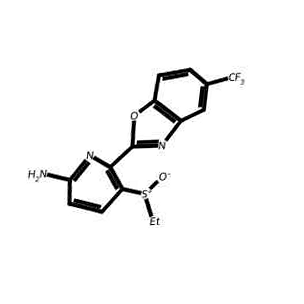 CC[S+]([O-])c1ccc(N)nc1-c1nc2cc(C(F)(F)F)ccc2o1